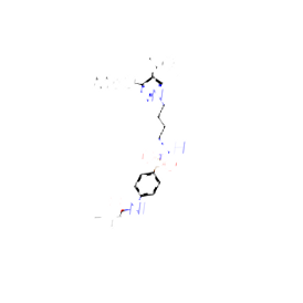 COc1nn(CCCCNS(=O)(=O)c2ccc(NC(=O)C(F)(F)F)cc2)cc1[N+](=O)[O-]